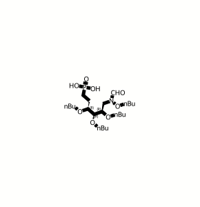 CCCCO[C@H]([C@@H](CCP(=O)(O)O)OCCCC)[C@@H](CN(C=O)OCCCC)OCCCC